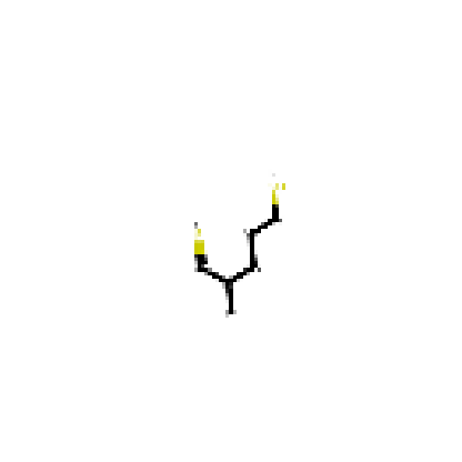 CC([C]=S)CCCS